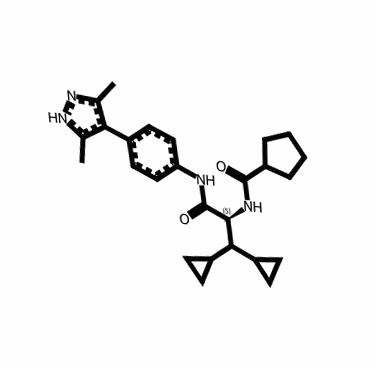 Cc1n[nH]c(C)c1-c1ccc(NC(=O)[C@@H](NC(=O)C2CCCC2)C(C2CC2)C2CC2)cc1